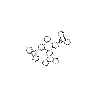 c1ccc2c(c1)-c1ccc(-n3c4ccccc4c4ccccc43)cc1-c1cc3c4ccccc4c4ccccc4c3cc1-c1ccc(-n3c4ccccc4c4ccccc43)cc1-2